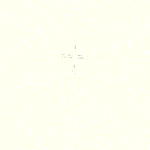 CC1(F)CN(S(C)(=O)=O)C1